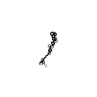 C=CC(=O)OCCCCCCOc1ccc(C(=O)Oc2ccc(-c3cc4cc5c6c(c4oc3=O)CCCN6CCC5)cc2)cc1